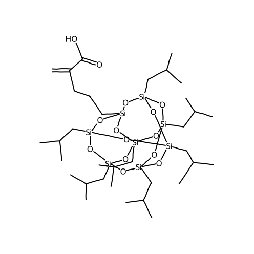 C=C(CCC[Si]12O[Si]3(CC(C)C)O[Si]4(CC(C)C)O[Si](CC(C)C)(O1)O[Si]1(CC(C)C)O[Si](CC(C)C)(O2)O[Si](CC(C)C)(O3)O[Si](CC(C)C)(O4)O1)C(=O)O